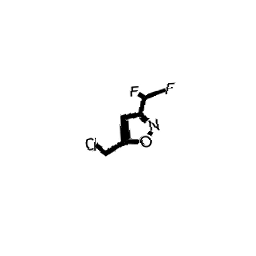 FC(F)c1cc(CCl)on1